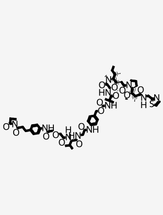 CC[C@H](C)[C@@H]([C@@H](CC(=O)N1CCC[C@H]1[C@H](OC)[C@@H](C)C(=O)NCc1nccs1)OC)N(C)C(=O)CNC(=O)C(C)(C)NC(=O)OCc1ccc(NC(=O)CNC(=O)C(NC(=O)COCC(=O)Nc2ccc(CCC(=O)N3CCC3=O)cc2)C(C)C)cc1